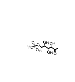 CC(=O)[C@@H](O)[C@H](O)[C@H](O)COP(=O)(O)O